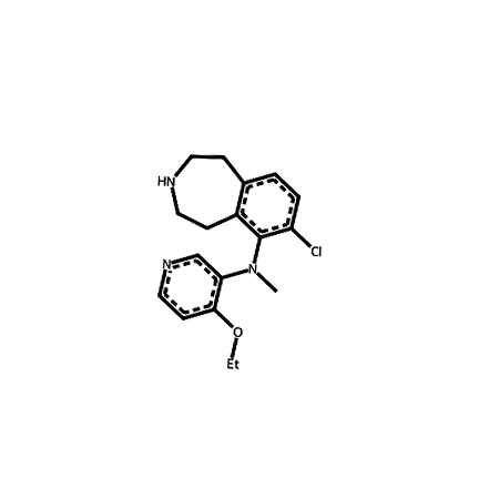 CCOc1ccncc1N(C)c1c(Cl)ccc2c1CCNCC2